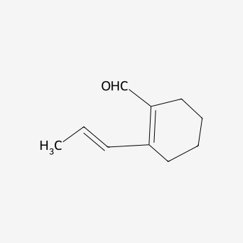 CC=CC1=C(C=O)CCCC1